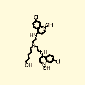 OCCCCCN(CCNc1cc[n+](O)c2cc(Cl)ccc12)CCNc1cc[n+](O)c2cc(Cl)ccc12